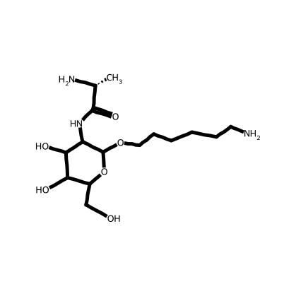 C[C@@H](N)C(=O)NC1C(OCCCCCCN)OC(CO)C(O)C1O